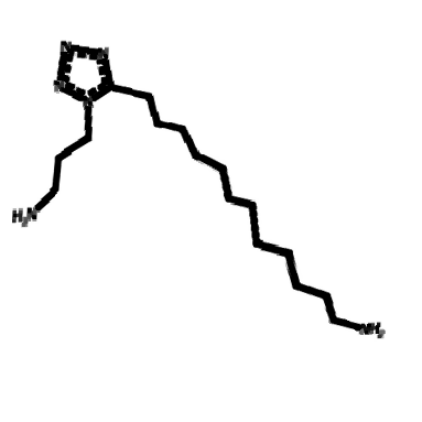 NCCCCCCCCCCCCc1nnnn1CCCN